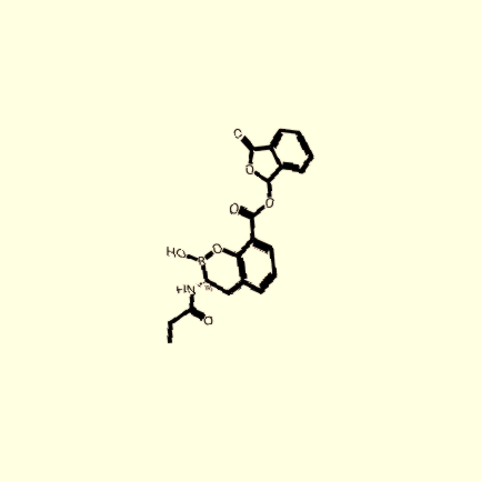 CCC(=O)N[C@H]1Cc2cccc(C(=O)OC3OC(=O)c4ccccc43)c2OB1O